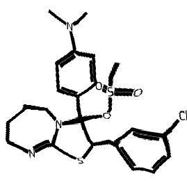 CN(C)c1ccc(C2(OS(C)(=O)=O)C(c3cccc(Cl)c3)SC3=NCCCCN32)cc1